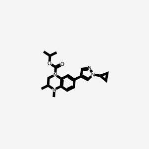 CC(C)OC(=O)N1CC(C)N(C)c2ccc(-c3cnn(C4CC4)c3)cc21